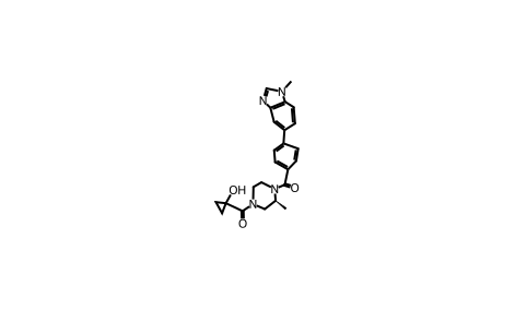 C[C@H]1CN(C(=O)C2(O)CC2)CCN1C(=O)c1ccc(-c2ccc3c(c2)ncn3C)cc1